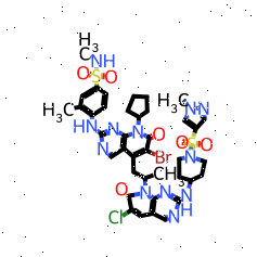 CNS(=O)(=O)c1ccc(Nc2ncc3c(CC(C)n4c(=O)c(Cl)cc5cnc(NC6CCN(S(=O)(=O)c7cnn(C)c7)CC6)nc54)c(Br)c(=O)n(C4CCCC4)c3n2)c(C)c1